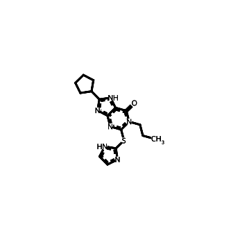 CCCn1c(Sc2ncc[nH]2)nc2nc(C3CCCC3)[nH]c2c1=O